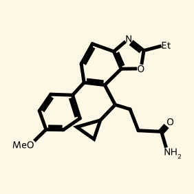 CCc1nc2ccc(-c3ccc(OC)cc3)c(C(CCC(N)=O)C3CC3)c2o1